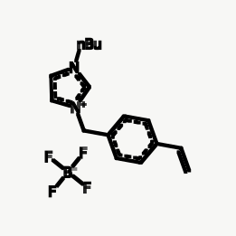 C=Cc1ccc(C[n+]2ccn(CCCC)c2)cc1.F[B-](F)(F)F